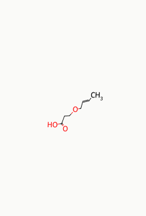 CC=CCOCCC(=O)O